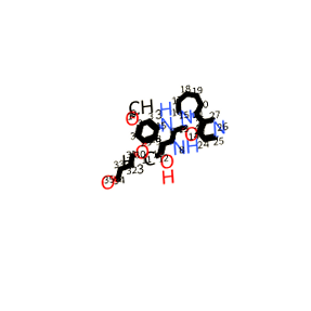 COc1cc(NC(C(=N)/C=C(/C)O)C(=O)N2CCCCCC2c2cccnc2)cc(OCCCC=O)c1